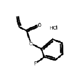 C=CC(=O)Oc1ccccc1F.Cl